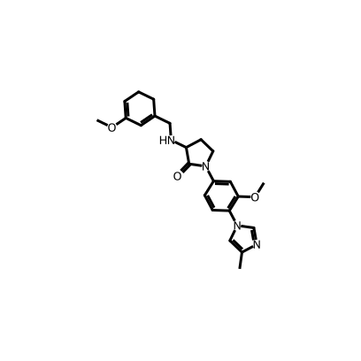 COC1=CCCC(CNC2CCN(c3ccc(-n4cnc(C)c4)c(OC)c3)C2=O)=C1